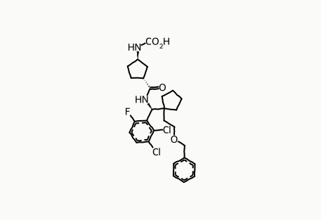 O=C(O)N[C@@H]1CC[C@@H](C(=O)N[C@H](c2c(F)ccc(Cl)c2Cl)C2(CCOCc3ccccc3)CCCC2)C1